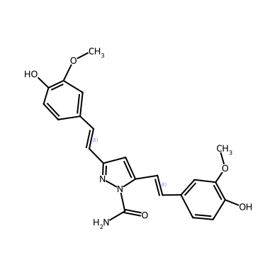 COc1cc(/C=C/c2cc(/C=C/c3ccc(O)c(OC)c3)n(C(N)=O)n2)ccc1O